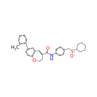 Cc1ccccc1-c1ccc2c(c1)C=C(C(=O)Nc1ccc(C[S+]([O-])C3CCCCC3)cc1)CCO2